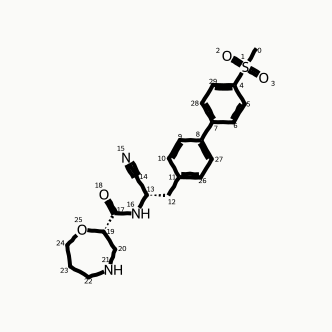 CS(=O)(=O)c1ccc(-c2ccc(C[C@@H](C#N)NC(=O)[C@@H]3CNCCCO3)cc2)cc1